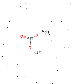 [Ca+2].[MgH2].[O]=[Ti]([O-])[O-]